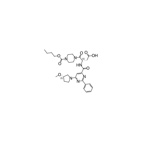 CCCCOC(=O)N1CCN(C(=O)[C@H](CC(=O)O)NC(=O)c2cc(N3CC[C@H](OC)C3)nc(-c3ccccc3)n2)CC1